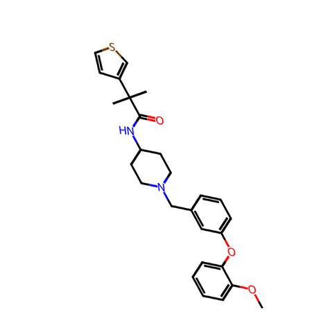 COc1ccccc1Oc1cccc(CN2CCC(NC(=O)C(C)(C)c3ccsc3)CC2)c1